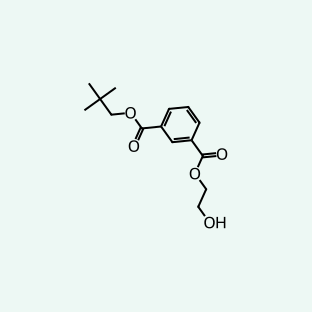 CC(C)(C)COC(=O)c1cccc(C(=O)OCCO)c1